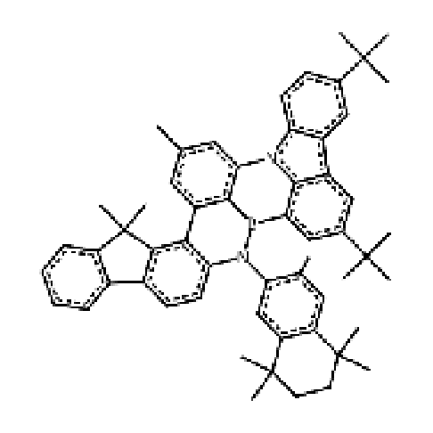 Cc1cc2c3c(c1)-n1c4ccc(C(C)(C)C)cc4c4cc(C(C)(C)C)cc(c41)B3N(c1cc3c(cc1C)C(C)(C)CCC3(C)C)c1ccc3c(c1-2)C(C)(C)c1ccccc1-3